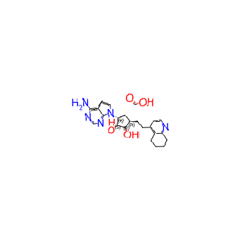 Nc1ncnc2c1ccn2[C@@H]1C[C@@H](CCc2ccnc3c2CCCC3)[C@@H](O)[C@H]1O.O=CO